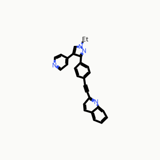 CCn1cc(-c2ccncc2)c(-c2ccc(C#Cc3ccc4ccccc4n3)cc2)n1